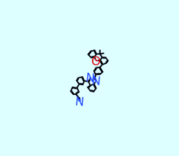 CC1(C)c2ccccc2Oc2c(-c3ccc(-c4nc(-c5cccc(-c6cccc(C#N)c6)c5)c5ccccc5n4)cc3)cccc21